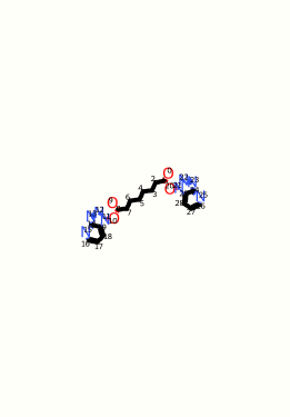 O=C(CCCCCCC(=O)On1nnc2ncccc21)On1nnc2ncccc21